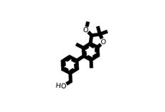 COC1c2c(cc(C)c(-c3cccc(CO)c3)c2C)OC1(C)C